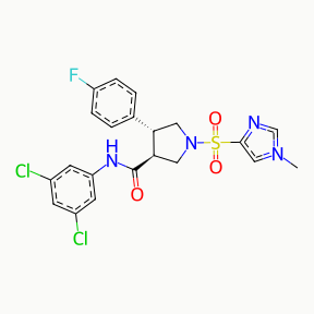 Cn1cnc(S(=O)(=O)N2C[C@@H](C(=O)Nc3cc(Cl)cc(Cl)c3)[C@H](c3ccc(F)cc3)C2)c1